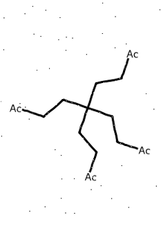 CC(=O)CCC(CCC(C)=O)(CCC(C)=O)CCC(C)=O